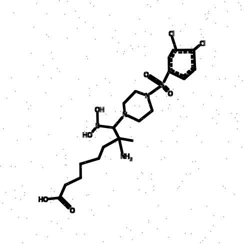 CC(N)(CCCCCC(=O)O)C(B(O)O)N1CCN(S(=O)(=O)c2ccc(Cl)c(Cl)c2)CC1